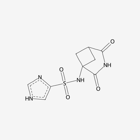 O=C1NC(=O)C2(NS(=O)(=O)c3c[nH]cn3)CC1C2